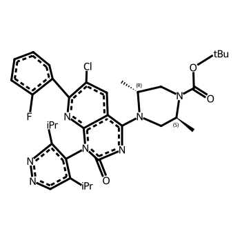 CC(C)c1cnnc(C(C)C)c1-n1c(=O)nc(N2C[C@H](C)N(C(=O)OC(C)(C)C)C[C@H]2C)c2cc(Cl)c(-c3ccccc3F)nc21